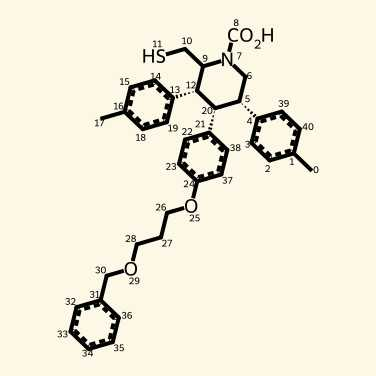 Cc1ccc([C@H]2CN(C(=O)O)C(CS)[C@@H](c3ccc(C)cc3)[C@H]2c2ccc(OCCCOCc3ccccc3)cc2)cc1